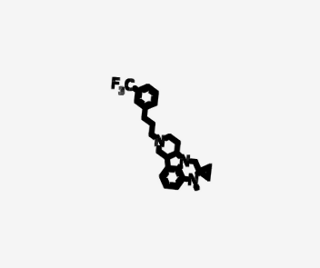 CN1c2cccc3c2N(CC12CC2)C1CCN(CCCc2cccc(C(F)(F)F)c2)CC31